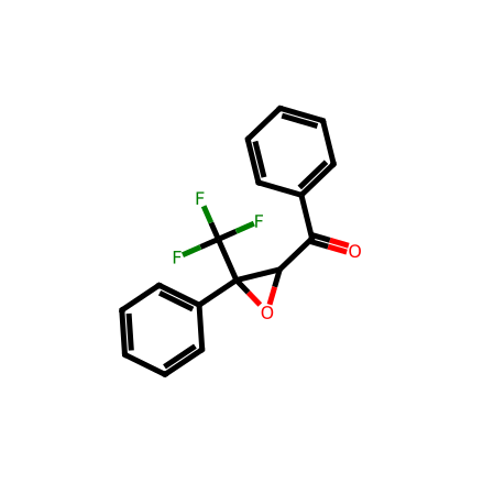 O=C(c1ccccc1)C1OC1(c1ccccc1)C(F)(F)F